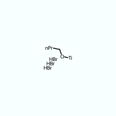 Br.Br.Br.CCCC[O][Ti]